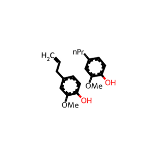 C=CCc1ccc(O)c(OC)c1.CCCc1ccc(O)c(OC)c1